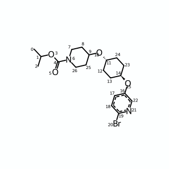 CC(C)OC(=O)N1CCC(O[C@H]2CC[C@H](Oc3ccc(Br)nc3)CC2)CC1